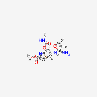 CCNC(=O)OC(CC(C(C)C)N(C)C(=O)C(N)C(C)CC)c1nc(C(=O)OCC)cs1